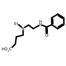 CCN(CCCC(=O)O)CCNC(=O)c1ccccc1